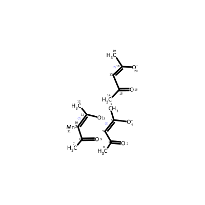 CC(=O)/C=C(/C)[O-].CC(=O)/C=C(/C)[O-].CC(=O)/C=C(/C)[O-].[Mn+3]